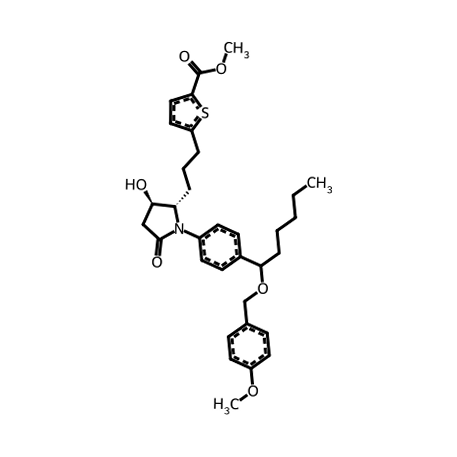 CCCCCC(OCc1ccc(OC)cc1)c1ccc(N2C(=O)C[C@@H](O)[C@@H]2CCCc2ccc(C(=O)OC)s2)cc1